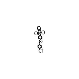 O=C1C2C3C=CC(C3)C2C(=O)N1c1ccc(OCc2ccc(Cl)cc2)cc1